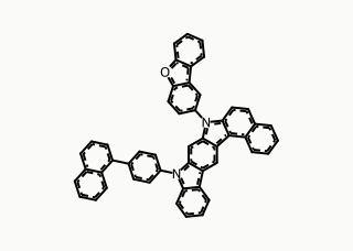 c1ccc2c(-c3ccc(-n4c5ccccc5c5cc6c7c8ccccc8ccc7n(-c7ccc8oc9ccccc9c8c7)c6cc54)cc3)cccc2c1